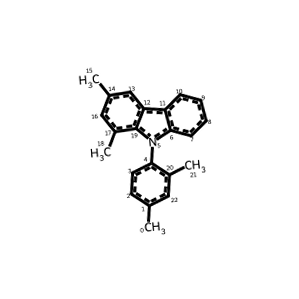 Cc1ccc(-n2c3ccccc3c3cc(C)cc(C)c32)c(C)c1